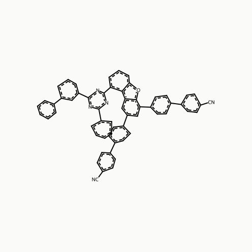 N#Cc1ccc(-c2ccc(-c3cc(-c4ccc(-c5ccc(C#N)cc5)cc4)c4oc5cccc(-c6nc(-c7ccccc7)nc(-c7cccc(-c8ccccc8)c7)n6)c5c4c3)cc2)cc1